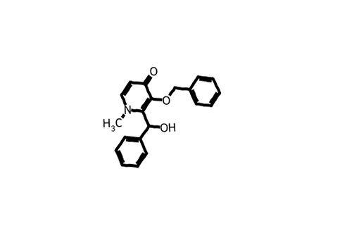 Cn1ccc(=O)c(OCc2ccccc2)c1C(O)c1ccccc1